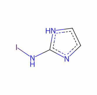 INc1ncc[nH]1